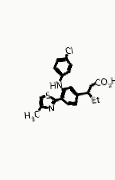 CCC(CC(=O)O)c1ccc(-c2nc(C)cs2)c(Nc2ccc(Cl)cc2)c1